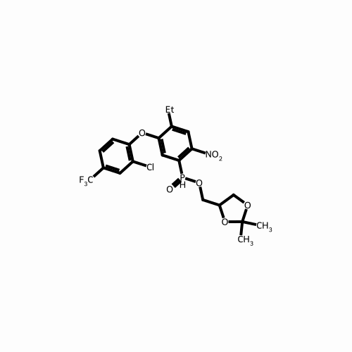 CCc1cc([N+](=O)[O-])c([PH](=O)OCC2COC(C)(C)O2)cc1Oc1ccc(C(F)(F)F)cc1Cl